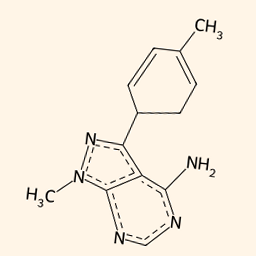 CC1=CCC(c2nn(C)c3ncnc(N)c23)C=C1